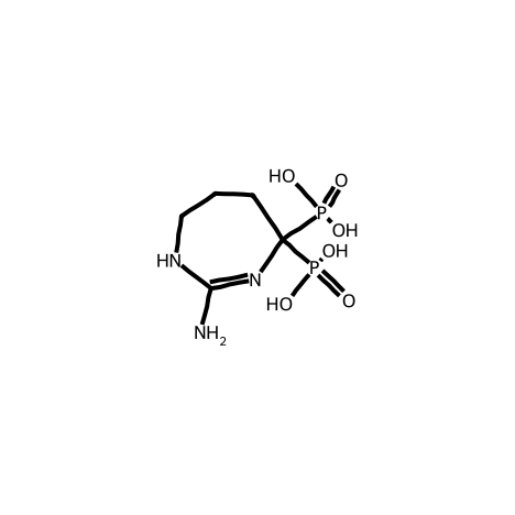 NC1=NC(P(=O)(O)O)(P(=O)(O)O)CCCN1